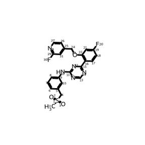 CS(=O)(=O)Cc1cccc(Nc2ncnc(-c3ccc(F)cc3OCc3ccnc(F)c3)n2)c1